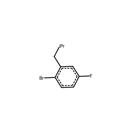 CC(C)[CH]c1cc(F)ccc1Br